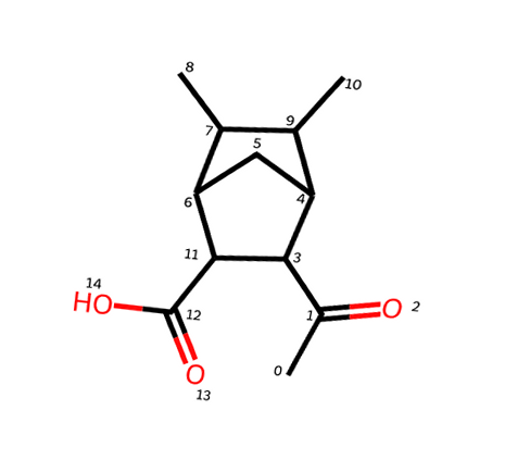 CC(=O)C1C2CC(C(C)C2C)C1C(=O)O